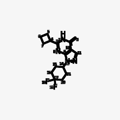 C=C1NC(C2CCC2)=Nc2c1cnn2C1CCC(F)(F)CC1